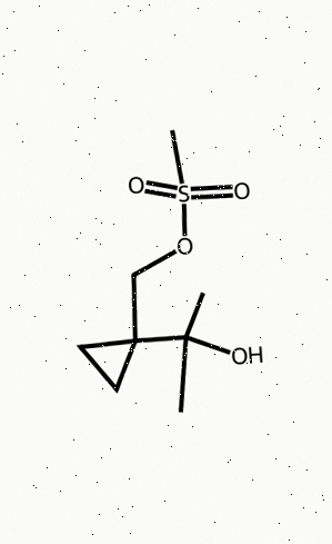 CC(C)(O)C1(COS(C)(=O)=O)CC1